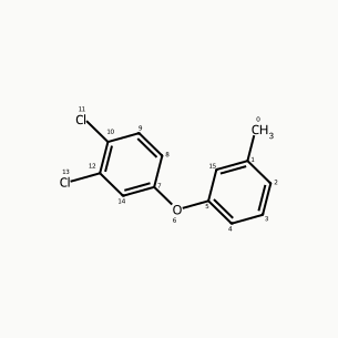 Cc1cccc(Oc2ccc(Cl)c(Cl)c2)c1